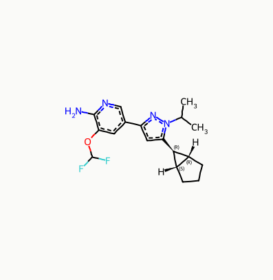 CC(C)n1nc(-c2cnc(N)c(OC(F)F)c2)cc1[C@H]1[C@@H]2CCC[C@@H]21